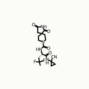 CC(F)(F)C[C@H](NC(=O)N1CCC2(CC1)CC(=O)NC2=O)C(=O)NC1(C#N)CC1